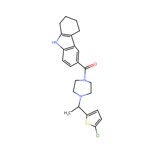 CC(c1ccc(Cl)s1)N1CCN(C(=O)c2ccc3[nH]c4c(c3c2)CCCC4)CC1